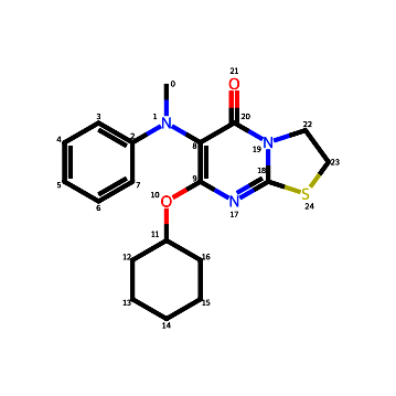 CN(c1ccccc1)c1c(OC2CCCCC2)nc2n(c1=O)CCS2